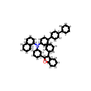 c1ccc(-c2ccc(-c3ccc(N(c4cccc(-c5oc6ccccc6c5-c5ccccc5)c4)c4cccc5ccccc45)cc3)cc2)cc1